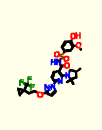 COc1cc(S(=O)(=O)NC(=O)c2ccc(-n3ccc(OCCC4(C(F)(F)F)CC4)n3)nc2N2C[C@@H](C)CC2(C)C)ccc1O